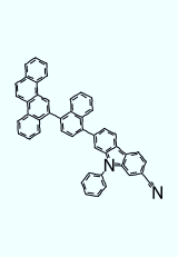 N#Cc1ccc2c3ccc(-c4ccc(-c5cc6c7ccccc7ccc6c6ccccc56)c5ccccc45)cc3n(-c3ccccc3)c2c1